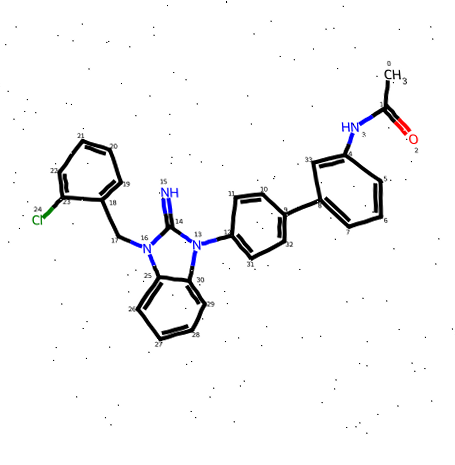 CC(=O)Nc1cccc(-c2ccc(-n3c(=N)n(Cc4ccccc4Cl)c4ccccc43)cc2)c1